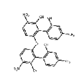 N#Cc1cc(C(F)(F)F)ccc1-c1c(Oc2ccc([N+](=O)[O-])c(C#N)c2-c2ccc(C(F)(F)F)cc2C#N)ccc([N+](=O)[O-])c1C#N